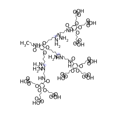 CCCNC(=O)c1cc(OCCCC/C(N)=C/N(N)CCCNC(=O)c2cc(OCCCS(=O)(=O)O)c(OCCCS(=O)(=O)O)c(OCCCS(=O)(=O)O)c2)c(OCCCC/C(N)=C/NCCCNC(=O)c2cc(OCCCS(=O)(=O)O)c(OCCCS(=O)(=O)O)c(OCCCS(=O)(=O)O)c2)c(OCCCC/C(N)=C/N(N)CCCNC(=O)c2cc(OCCCS(=O)(=O)O)c(OCCCS(=O)(=O)O)c(OCCCS(=O)(=O)O)c2)c1